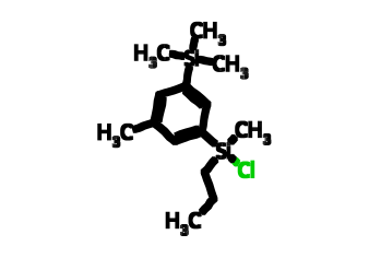 CCC[Si](C)(Cl)c1cc(C)cc([Si](C)(C)C)c1